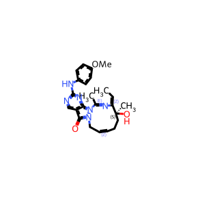 C/C=C1\N=C(/C)n2c3nc(Nc4ccc(OC)cc4)ncc3c(=O)n2C/C=C\CC[C@]1(C)O